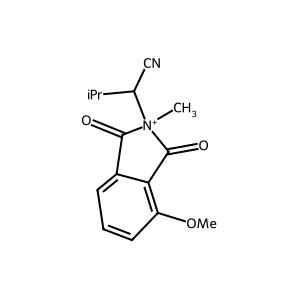 COc1cccc2c1C(=O)[N+](C)(C(C#N)C(C)C)C2=O